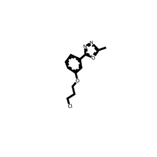 Cc1nnc(-c2cccc(OCCCCl)c2)o1